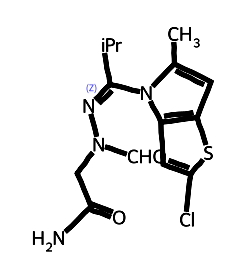 Cc1cc2sc(Cl)cc2n1/C(=N\N(C=O)CC(N)=O)C(C)C